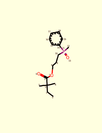 CCC(C)(C)C(=O)OCCCP(C)(=O)c1ccccc1